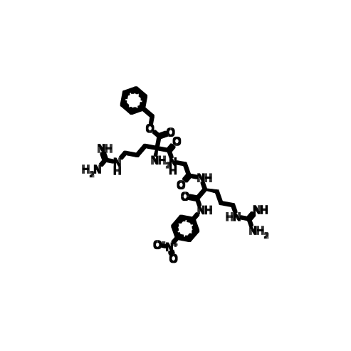 N=C(N)NCCC[C@H](NC(=O)CNC(=O)[C@](N)(CCCNC(=N)N)C(=O)OCc1ccccc1)C(=O)Nc1ccc([N+](=O)[O-])cc1